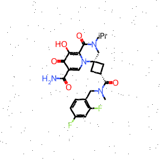 CC(C)N1C[C@]2(C[C@@H](C(=O)N(C)Cc3ccc(F)cc3F)C2)n2cc(C(N)=O)c(=O)c(O)c2C1=O